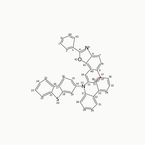 c1ccc(-c2nc3ccc4ccc(N(c5ccc6c(c5)sc5ccccc56)c5ccccc5-c5ccccc5)cc4c3o2)cc1